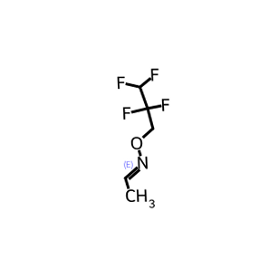 C/C=N/OCC(F)(F)C(F)F